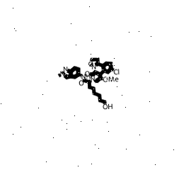 COc1cn(C(CCCCCCO)C(=O)Nc2ccc3nn(C)cc3c2)c(=O)cc1-c1cc(Cl)ccc1C1=NOCC1